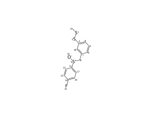 CSSc1cccc(C[S+]([O-])c2ccc(F)cc2)c1